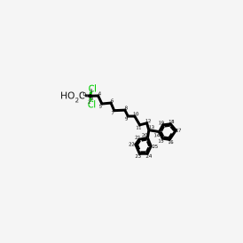 O=C(O)C(Cl)(Cl)CCCCCCCCCC(c1ccccc1)c1ccccc1